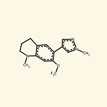 CN1CCCc2cc(-c3cnn(C)c3)c(OC(F)(F)F)cc21